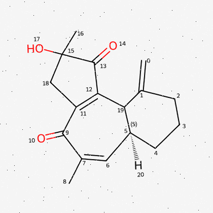 C=C1CCC[C@H]2C=C(C)C(=O)C3=C(C(=O)C(C)(O)C3)C12